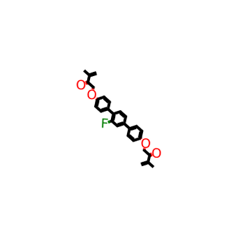 C=C(C)C(=O)COc1ccc(-c2ccc(-c3ccc(OCC(=O)C(=C)C)cc3)c(F)c2)cc1